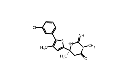 Cc1cc([C@]2(C)CC(=O)N(C)C(=N)N2)sc1-c1cccc(Cl)c1